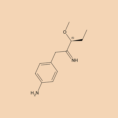 CC[C@H](OC)C(=N)Cc1ccc(N)cc1